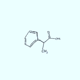 C[C](C(=O)O)c1ccccc1